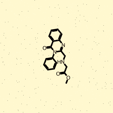 COC(=O)CNCc1nc2ccccc2c(=O)n1-c1ccccc1